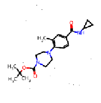 Cc1cc(C(=O)NC2CC2)ccc1N1CCN(C(=O)OC(C)(C)C)CC1